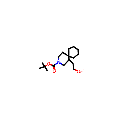 CC(C)(C)OC(=O)N1CCC2(CCCCC2)C(CCO)C1